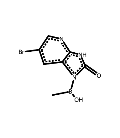 CB(O)n1c(=O)[nH]c2ncc(Br)cc21